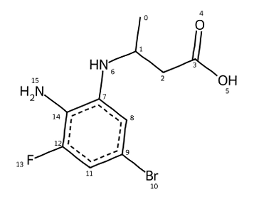 CC(CC(=O)O)Nc1cc(Br)cc(F)c1N